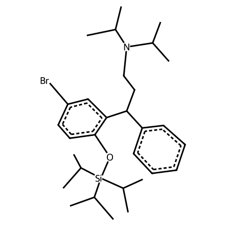 CC(C)N(CCC(c1ccccc1)c1cc(Br)ccc1O[Si](C(C)C)(C(C)C)C(C)C)C(C)C